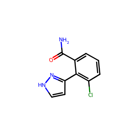 NC(=O)c1cccc(Cl)c1-c1cc[nH]n1